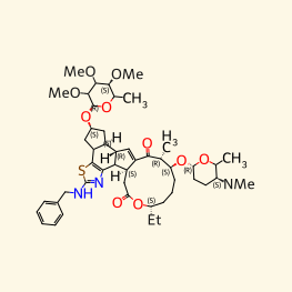 CC[C@H]1CCC[C@H](O[C@H]2CC[C@H](NC)C(C)O2)[C@@H](C)C(=O)C2=C[C@@H]3C(c4nc(NCc5ccccc5)sc4C4C[C@@H](O[C@@H]5OC(C)[C@H](OC)C(OC)C5OC)C[C@H]43)[C@@H]2CC(=O)O1